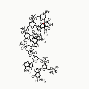 Cc1cn(C2CN(C(C)C)CC(COP(=O)(N(C)C)N3CC(COP(=O)(N(C)C)N4CC(COP(=O)(N(C)C)N5CC(COP(=O)(N(C)C)N6CC(COP(=O)(N(C)C)N7CC(COP(=O)(C(C)C)N(C)C)OC(n8cnc9c(=O)[nH]c(N)nc98)C7)OC(n7cnc8c(N)ncnc87)C6)OC(n6cnc7c(N)ncnc76)C5)OC(n5cc(C)c(=O)[nH]c5=O)C4)OC(n4cnc5c(N)ncnc54)C3)O2)c(=O)[nH]c1=O